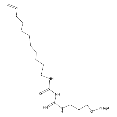 C=CCCCCCCCCCNC(=O)NC(=N)NCCCOCCCCCCC